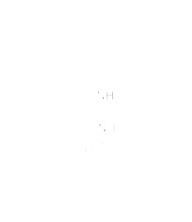 CC(C)C(=O)Nc1cccc2c1[nH]c1ccccc12